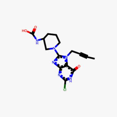 CC#CCn1c(N2CCCC(NC(=O)O)C2)nc2nc(Cl)[nH]c(=O)c21